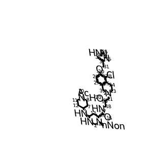 CCCCCCCCCN1CNC(NC2CCN(C(C)=O)CC2)CC1C(=O)NC[C@H](O)CN1CCc2c(ccc(OCc3c[nH]nn3)c2Cl)C1